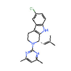 CC(C)=C[C@H]1c2[nH]c3ccc(Cl)cc3c2CCN1c1nc(C)cc(C)n1